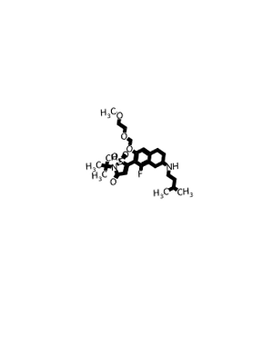 COCCOCOc1cc2c(c(F)c1C1=CC(=O)N(C(C)(C)C)S1(=O)=O)CC(NCCC(C)C)CC2